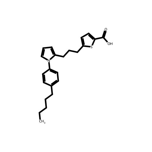 CCCCCc1ccc(-n2cccc2CCCc2ccc(C(=O)O)s2)cc1